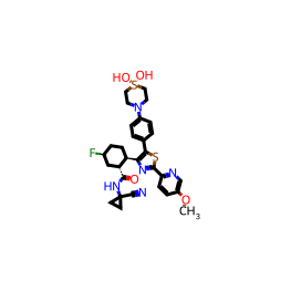 COc1ccc(-c2nc([C@@H]3CC[C@H](F)C[C@H]3C(=O)NC3(C#N)CC3)c(-c3ccc(N4CCS(O)(O)CC4)cc3)s2)nc1